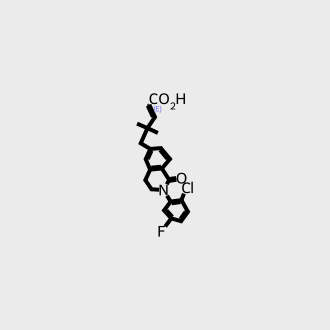 CC(C)(/C=C/C(=O)O)Cc1ccc2c(c1)CCN(c1cc(F)ccc1Cl)C2=O